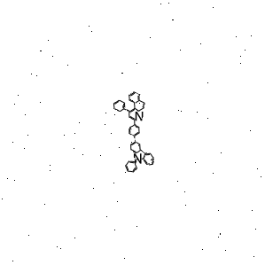 c1ccc(-c2cc(-c3ccc(-c4ccc5c(c4)c4ccccc4n5-c4ccccc4)cc3)nc3ccc4ccccc4c23)cc1